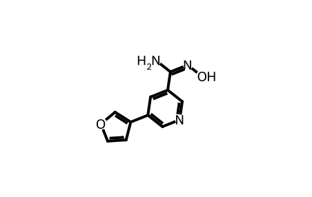 N/C(=N/O)c1cncc(-c2ccoc2)c1